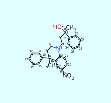 CC(O)(CCN1CCC(C)(c2ccccc2)c2cc([N+](=O)[O-])ccc21)c1ccccc1